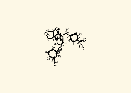 COC(=O)c1ccc([C@H](C)NC(=O)C2(N3CC[C@@H](Oc4cccc(Cl)c4)C3)CCOCC2)cc1